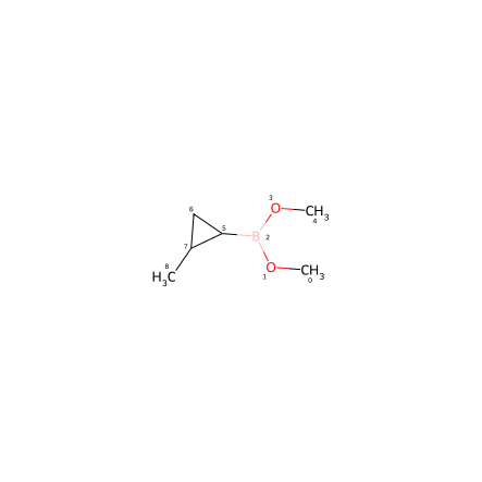 COB(OC)C1CC1C